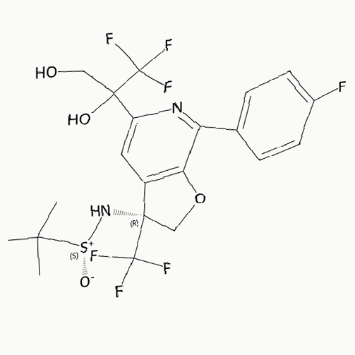 CC(C)(C)[S@@+]([O-])N[C@@]1(C(F)(F)F)COc2c1cc(C(O)(CO)C(F)(F)F)nc2-c1ccc(F)cc1